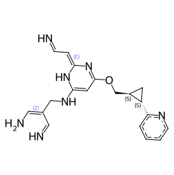 N=C/C=C1/N=C(OC[C@H]2C[C@@H]2c2ccccn2)C=C(NC/C(C=N)=C/N)N1